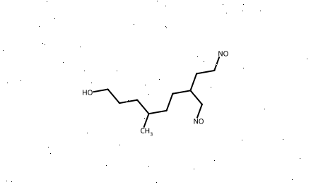 CC(CCCO)CCC(CCN=O)CN=O